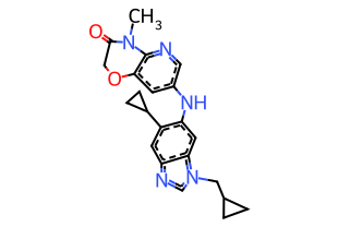 CN1C(=O)COc2cc(Nc3cc4c(cc3C3CC3)ncn4CC3CC3)cnc21